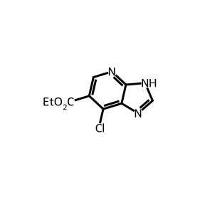 CCOC(=O)c1cnc2[nH]cnc2c1Cl